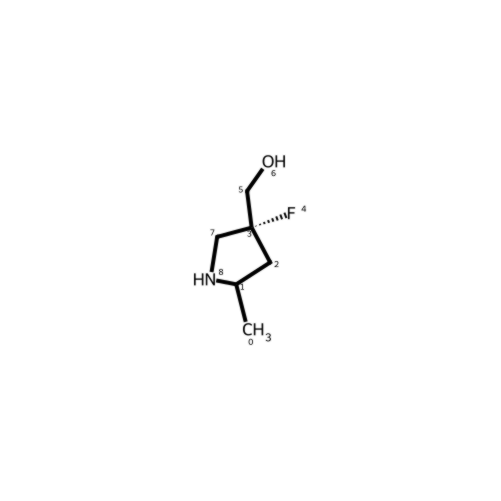 CC1C[C@](F)(CO)CN1